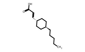 CCCCC[C@H]1CC[C@H](C=CC(=O)O)CC1